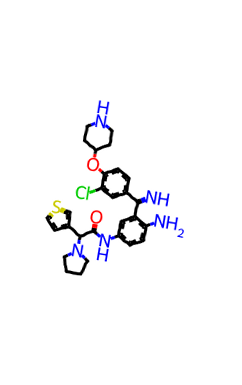 N=C(c1ccc(OC2CCNCC2)c(Cl)c1)c1cc(NC(=O)C(c2ccsc2)N2CCCC2)ccc1N